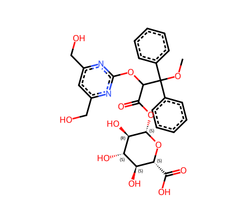 COC(c1ccccc1)(c1ccccc1)C(Oc1nc(CO)cc(CO)n1)C(=O)O[C@@H]1O[C@H](C(=O)O)[C@@H](O)[C@H](O)[C@H]1O